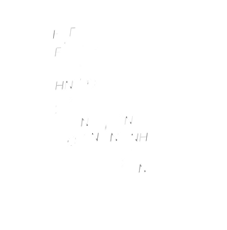 C=Cc1ccc(Nc2ncc3c(n2)N(C)C(=O)N(c2cc(NC(=O)c4cccc(C(F)(F)F)c4)ccc2C)C3)cn1